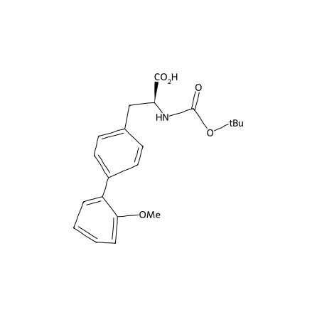 COc1ccccc1-c1ccc(C[C@H](NC(=O)OC(C)(C)C)C(=O)O)cc1